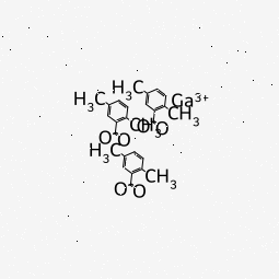 Cc1ccc(C)c(C(=O)[O-])c1.Cc1ccc(C)c(C(=O)[O-])c1.Cc1ccc(C)c(C(=O)[O-])c1.[Ga+3]